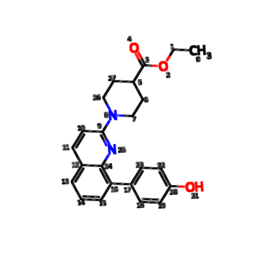 CCOC(=O)C1CCN(c2ccc3cccc(-c4ccc(O)cc4)c3n2)CC1